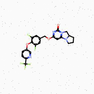 O=c1nc(OCc2cc(F)c(Oc3ccc(C(F)(F)F)nc3)c(F)c2)cc2n1CC1CCCN21